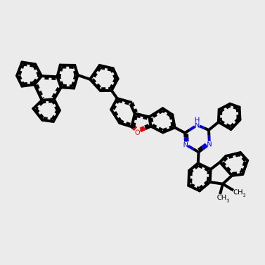 CC1(C)c2ccccc2-c2c(C3=NC(c4ccccc4)NC(c4ccc5c(c4)oc4ccc(-c6cccc(-c7ccc8c9ccccc9c9ccccc9c8c7)c6)cc45)=N3)cccc21